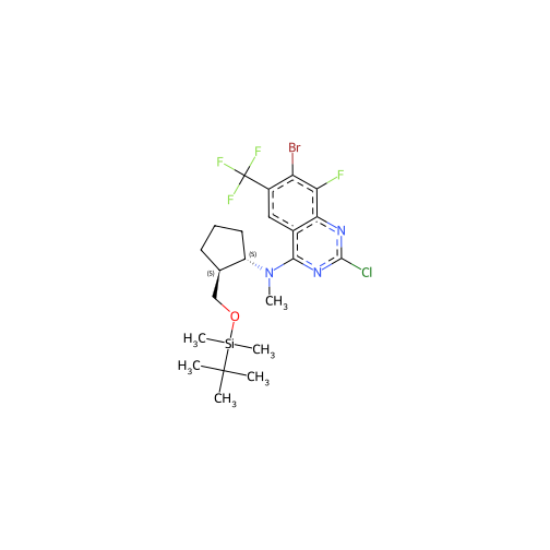 CN(c1nc(Cl)nc2c(F)c(Br)c(C(F)(F)F)cc12)[C@H]1CCC[C@@H]1CO[Si](C)(C)C(C)(C)C